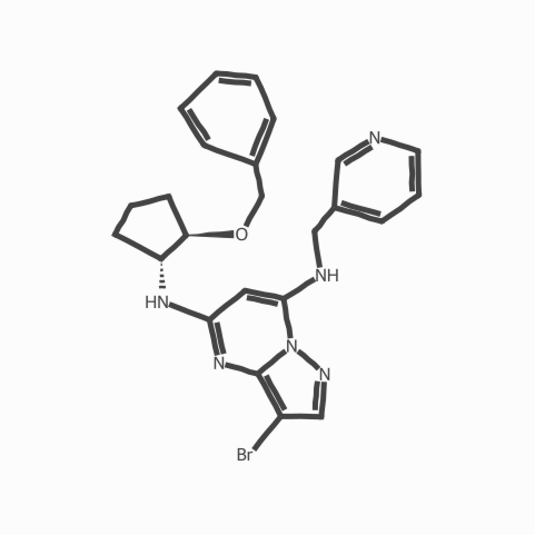 Brc1cnn2c(NCc3cccnc3)cc(N[C@@H]3CCC[C@H]3OCc3ccccc3)nc12